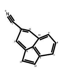 N#Cc1cc2c3c(cccc3c1)C=C2